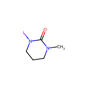 CN1CCCN(I)C1=O